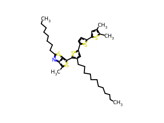 CCCCCCCCCCCCc1cc(-c2ccc(-c3cc(C)c(C)s3)s2)sc1-c1sc(C)c2nc(CCCCCCCC)sc12